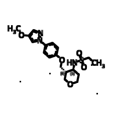 CCS(=O)(=O)N[C@H]1CCOC[C@@H]1COc1ccc(-n2cc(OC)cn2)cc1